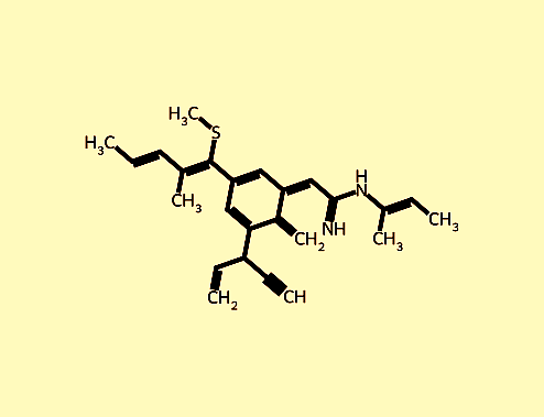 C#CC(C=C)c1cc(/C(SC)=C(\C)C=CC)c/c(=C/C(=N)N/C(C)=C/C)c1=C